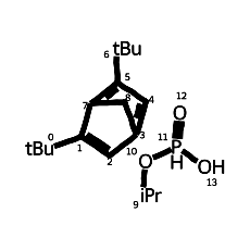 CC(C)(C)C1=CC2=CC(C(C)(C)C)=C1C2.CC(C)O[PH](=O)O